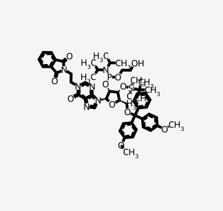 COc1ccc(C(OC[C@H]2O[C@@H](n3cnc4c(=O)n(CCN5C(=O)c6ccccc6C5=O)cnc43)[C@H](OP(OCCO)N(C(C)C)C(C)C)[C@@H]2O[Si](C)(C)C(C)(C)C)(c2ccccc2)c2ccc(OC)cc2)cc1